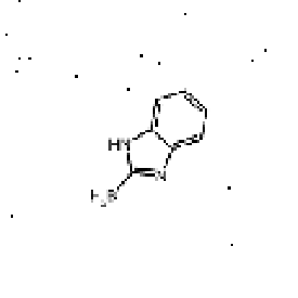 Bc1nc2ccccc2[nH]1